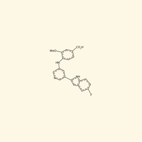 COc1cc(C(=O)O)ccc1Nc1cncc(-c2cc3cc(F)ccc3[nH]2)c1